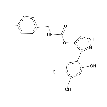 Cc1ccc(CNC(=O)Oc2c[nH]nc2-c2cc(Cl)c(O)cc2O)cc1